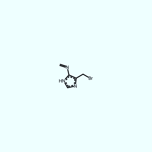 C=Nc1[nH]cnc1CBr